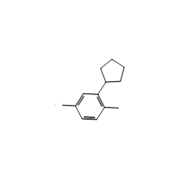 [CH2]c1ccc(Cl)cc1C1CCCC1